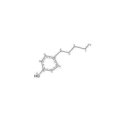 CCCC[CH]c1ccc(O)cc1